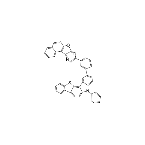 c1ccc(-n2c3ccc(-c4cccc(-c5cnc6c(n5)oc5ccc7ccccc7c56)c4)cc3c3c4sc5ccccc5c4ccc32)cc1